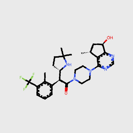 Cc1c([C@H](C(=O)N2CCN(c3ncnc4c3[C@H](C)C[C@H]4O)CC2)[C@@H]2CCC(C)(C)N2)cccc1C(F)(F)F